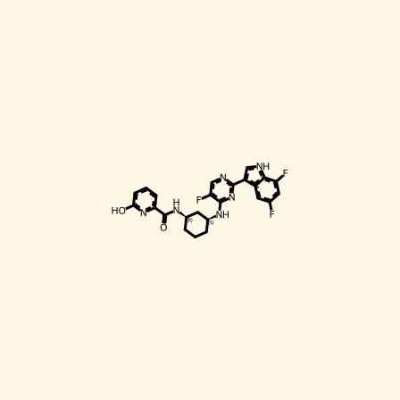 O=C(N[C@@H]1CCC[C@H](Nc2nc(-c3c[nH]c4c(F)cc(F)cc34)ncc2F)C1)c1cccc(O)n1